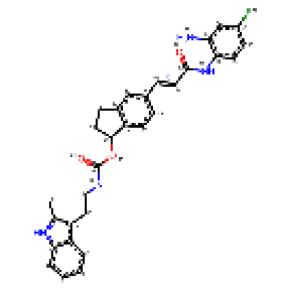 Cc1[nH]c2ccccc2c1CCNC(=O)OC1CCc2cc(/C=C/C(=O)Nc3ccc(F)cc3N)ccc21